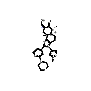 C[C@H]1C(=O)/C(=C\O)C[C@@]2(C)c3nc(-c4ccnc(N5CCOCC5)c4)n(-c4cnn(C)c4)c3CC[C@H]12